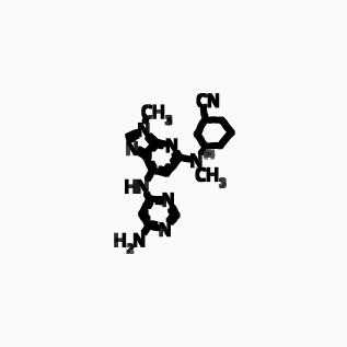 CN(c1cc(Nc2cc(N)ncn2)c2ncn(C)c2n1)[C@@H]1CCCC(C#N)C1